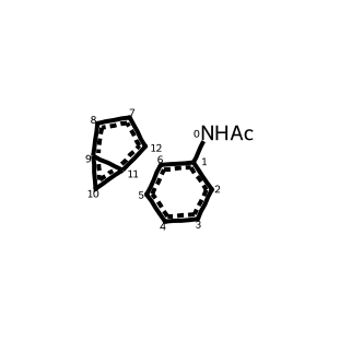 CC(=O)Nc1ccccc1.c1cc2cc-2c1